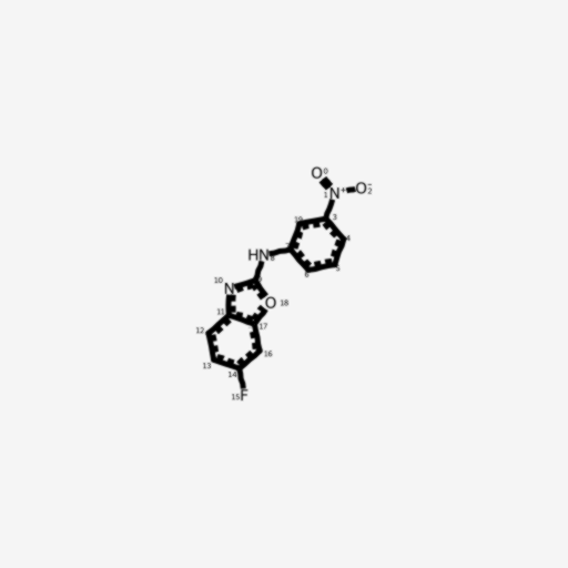 O=[N+]([O-])c1cccc(Nc2nc3ccc(F)cc3o2)c1